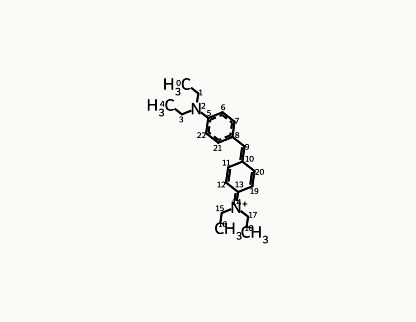 CCN(CC)c1ccc(C=C2C=CC(=[N+](CC)CC)C=C2)cc1